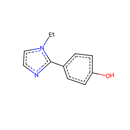 CCn1ccnc1-c1ccc(O)cc1